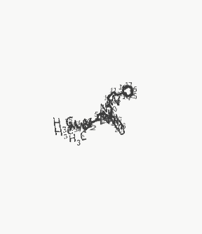 Cc1cc(-c2cc3nc(-n4ccc(-c5ccccc5)n4)cc(N4CCOCC4)n3n2)nn1CCN(C)C